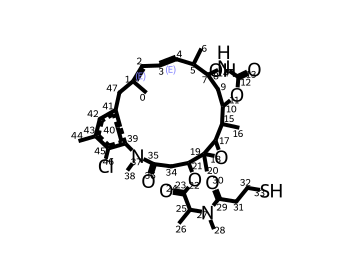 C/C1=C\C=C\C(C)C2(O)CC(OC(=O)N2)C(C)C2OC2(C)C(OC(=O)C(C)N(C)C(=O)CCS)CC(=O)N(C)c2cc(cc(C)c2Cl)C1